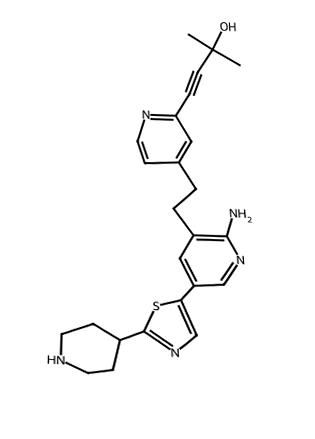 CC(C)(O)C#Cc1cc(CCc2cc(-c3cnc(C4CCNCC4)s3)cnc2N)ccn1